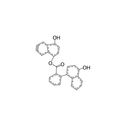 O=C(Oc1ccc(O)c2cc#ccc12)c1ccccc1-c1ccc(O)c2ccccc12